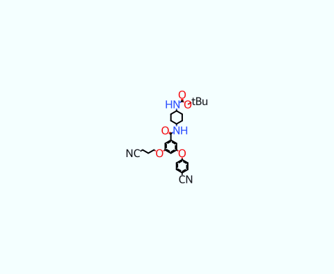 CC(C)(C)OC(=O)NC1CCC(NC(=O)c2cc(OCCCC#N)cc(Oc3ccc(C#N)cc3)c2)CC1